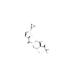 C[C@H]1CN(C(=O)c2ccn(C3CC3)n2)Cc2onc([C@@](C)(O)C(F)(F)F)c21